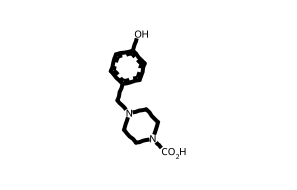 O=C(O)N1CCN(Cc2ccc(O)cc2)CC1